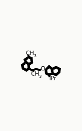 Cc1ccc2c(C(C)CCOc3cc(C(C)C)c4ccccc4c3)cccc2c1